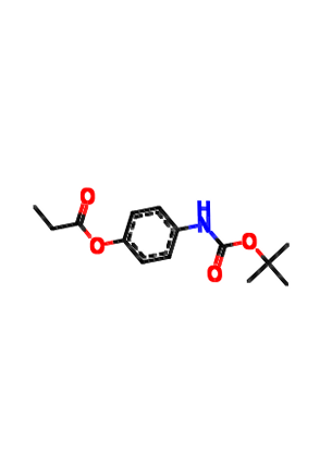 CCC(=O)Oc1ccc(NC(=O)OC(C)(C)C)cc1